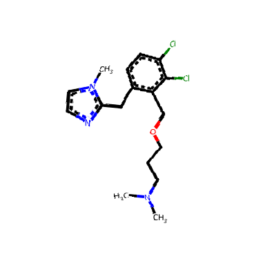 CN(C)CCCOCc1c(Cc2nccn2C)ccc(Cl)c1Cl